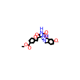 CCOC(=O)c1ccc2oc([C@]3(CN4Cc5ccc(OC)cc5C4=O)NC(=O)NC3=O)cc2c1